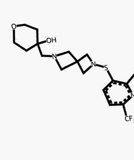 Cc1nc(C(F)(F)F)ccc1SN1CC2(CN(CC3(O)CCOCC3)C2)C1